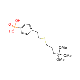 CO[Si](CCCSCCc1ccc(P(=O)(O)O)cc1)(OC)OC